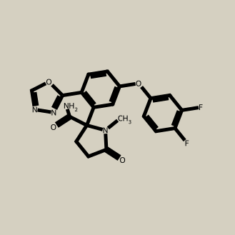 CN1C(=O)CCC1(C(N)=O)c1cc(Oc2ccc(F)c(F)c2)ccc1-c1nnco1